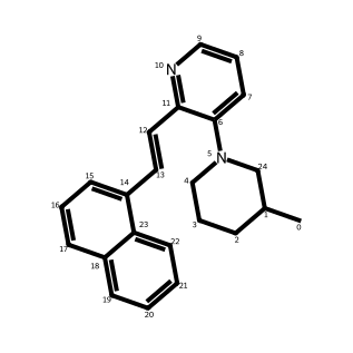 CC1CCCN(c2cccnc2C=Cc2cccc3ccccc23)C1